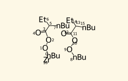 CCCCOOC(=O)C(CC)CCCC.CCCCOOC(=O)C(CC)CCCC.[Zr]